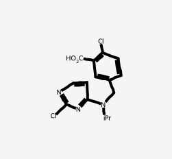 CC(C)N(Cc1ccc(Cl)c(C(=O)O)c1)c1ccnc(Cl)n1